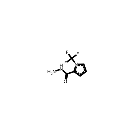 NNC(=O)c1cccn1C(F)(F)F